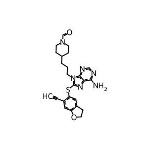 C#Cc1cc2c(cc1Sc1nc3c(N)ncnc3n1CCCC1CCN(C=O)CC1)CCO2